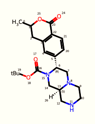 CC1Cc2cc([C@@H]3CN4CCNC[C@H]4CN3C(=O)OC(C)(C)C)ccc2C(=O)O1